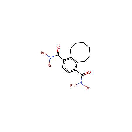 O=C(c1ccc(C(=O)N(Br)Br)c2c1CCCCCC2)N(Br)Br